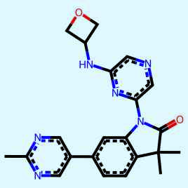 Cc1ncc(-c2ccc3c(c2)N(c2cncc(NC4COC4)n2)C(=O)C3(C)C)cn1